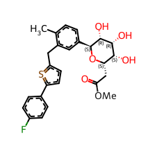 COC(=O)C[C@@H]1O[C@@H](c2ccc(C)c(Cc3ccc(-c4ccc(F)cc4)s3)c2)[C@H](O)[C@H](O)[C@@H]1O